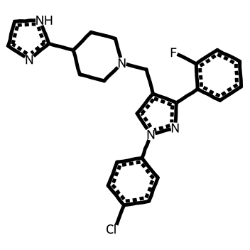 Fc1ccccc1-c1nn(-c2ccc(Cl)cc2)cc1CN1CCC(c2ncc[nH]2)CC1